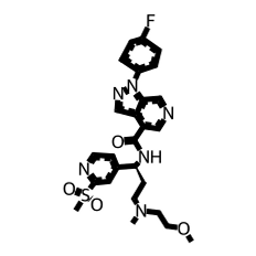 COCCN(C)CC[C@H](NC(=O)c1cncc2c1cnn2-c1ccc(F)cc1)c1ccnc(S(C)(=O)=O)c1